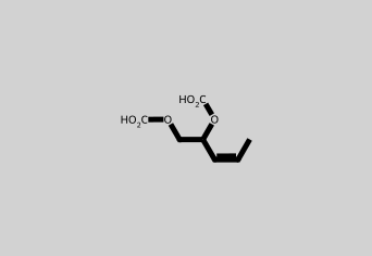 C/C=C\C(COC(=O)O)OC(=O)O